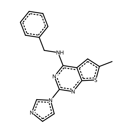 Cc1cc2c(NCc3ccccc3)nc(-n3ccnc3)nc2s1